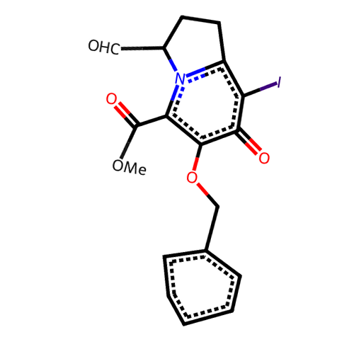 COC(=O)c1c(OCc2ccccc2)c(=O)c(I)c2n1C(C=O)CC2